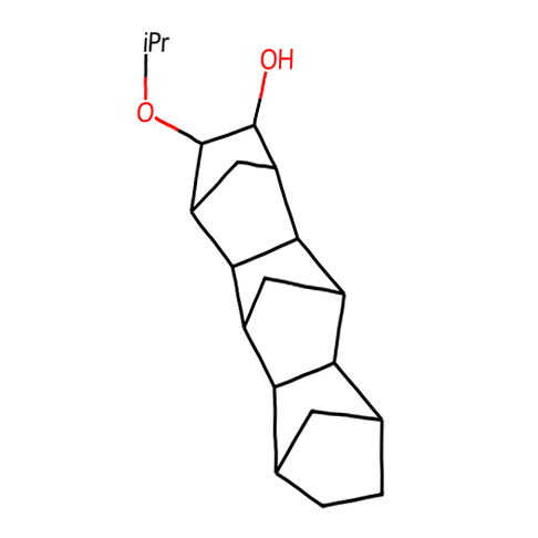 CC(C)OC1C(O)C2CC1C1C3CC(C4C5CCC(C5)C34)C21